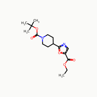 CCOC(=O)c1cnc(C2CCN(C(=O)OC(C)(C)C)CC2)o1